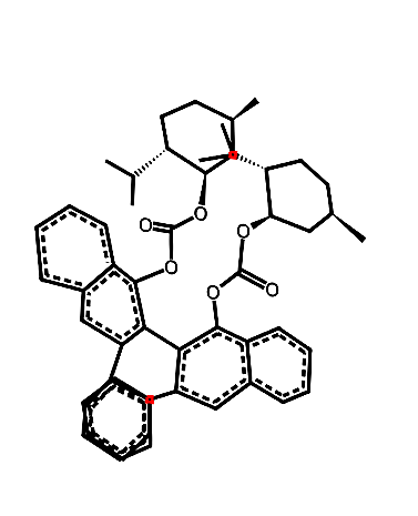 CC(C)[C@@H]1CC[C@@H](C)C[C@H]1OC(=O)Oc1c(-c2c(-c3ccccc3)cc3ccccc3c2OC(=O)O[C@@H]2C[C@H](C)CC[C@H]2C(C)C)c(-c2ccccc2)cc2ccccc12